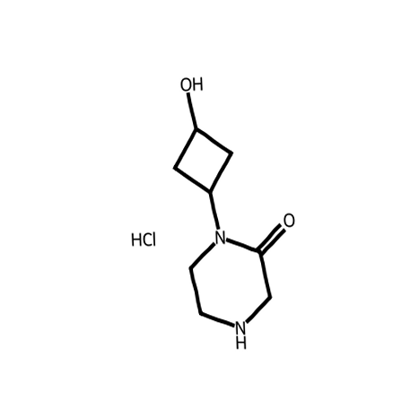 Cl.O=C1CNCCN1C1CC(O)C1